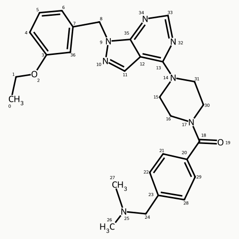 CCOc1cccc(Cn2ncc3c(N4CCN(C(=O)c5ccc(CN(C)C)cc5)CC4)ncnc32)c1